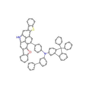 c1ccc(-c2cccc(N(c3ccc(-c4cc5c6sc7ccccc7c6cc6[nH]c7cc8c9ccccc9oc8c4c7c65)cc3)c3ccc4c(c3)-c3ccccc3C4(c3ccccc3)c3ccccc3)c2)cc1